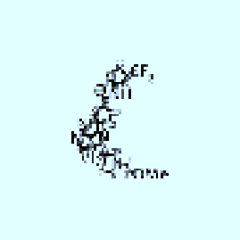 COCCN1CCO[C@@H](c2nc(-c3ccc(C(=O)Nc4cc(C(F)(F)F)ccn4)cc3)c3c(N)ncc(Cl)n23)C1